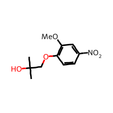 COc1cc([N+](=O)[O-])ccc1OCC(C)(C)O